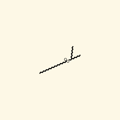 CCCCCCCCCCCCCCCCCCCC(=O)OCCC(CCCCCC)CCCCCCCC